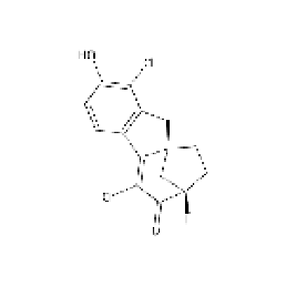 O=C1C(Cl)=C2c3ccc(O)c(Cl)c3C[C@]23CC[C@H]1C3